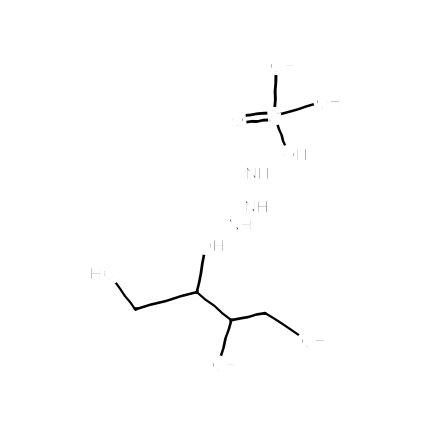 N.N.N.O=P(O)(O)O.OCC(O)C(O)CO